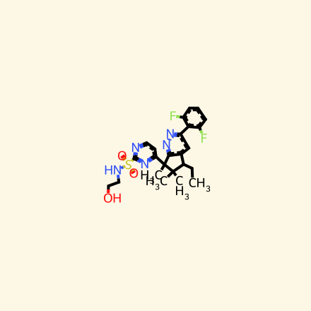 CCC1c2cc(-c3c(F)cccc3F)nnc2C(C)(c2ccnc(S(=O)(=O)NCCO)n2)C1(C)C